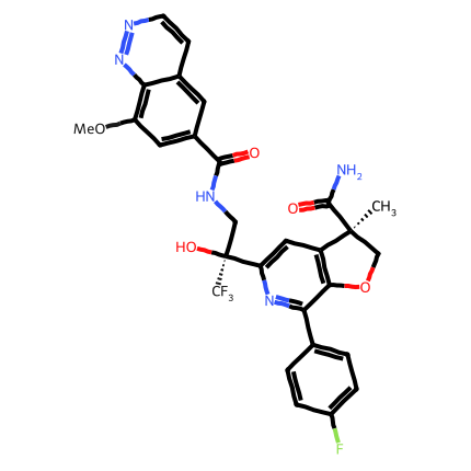 COc1cc(C(=O)NC[C@](O)(c2cc3c(c(-c4ccc(F)cc4)n2)OC[C@]3(C)C(N)=O)C(F)(F)F)cc2ccnnc12